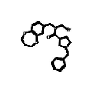 CC(C)CN(Cc1ccc2c(c1)OCCCO2)C(=O)[C@H]1CCN(Cc2ccccc2)C1